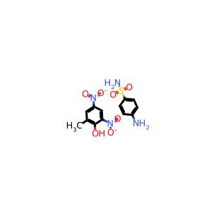 Cc1cc([N+](=O)[O-])cc([N+](=O)[O-])c1O.Nc1ccc(S(N)(=O)=O)cc1